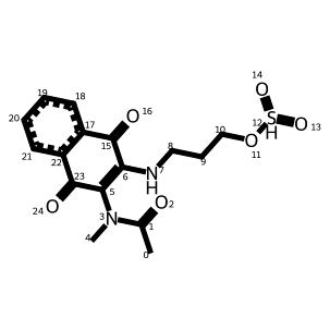 CC(=O)N(C)C1=C(NCCCO[SH](=O)=O)C(=O)c2ccccc2C1=O